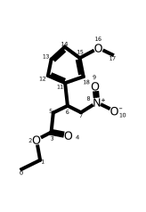 CCOC(=O)CC(C[N+](=O)[O-])c1cccc(OC)c1